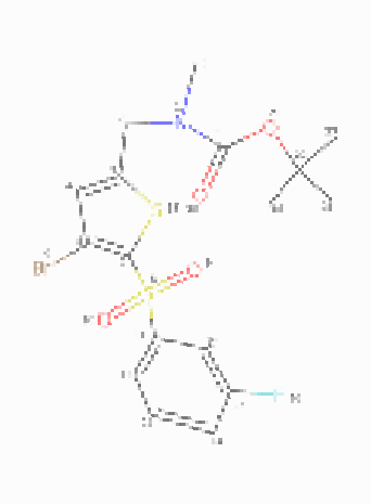 CN(Cc1cc(Br)c(S(=O)(=O)c2cccc(F)c2)s1)C(=O)OC(C)(C)C